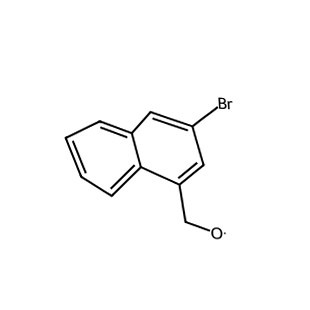 [O]Cc1cc(Br)cc2ccccc12